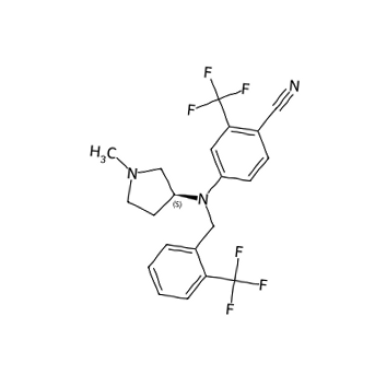 CN1CC[C@H](N(Cc2ccccc2C(F)(F)F)c2ccc(C#N)c(C(F)(F)F)c2)C1